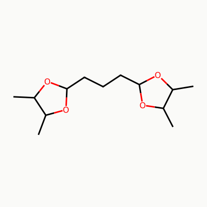 CC1OC(CCCC2OC(C)C(C)O2)OC1C